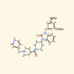 COc1cc(Cn2c(=O)n(C3CCN(C(=O)C4CCN(Cc5ccncc5)CC4)CC3)c3ccccc32)cc(OC)c1